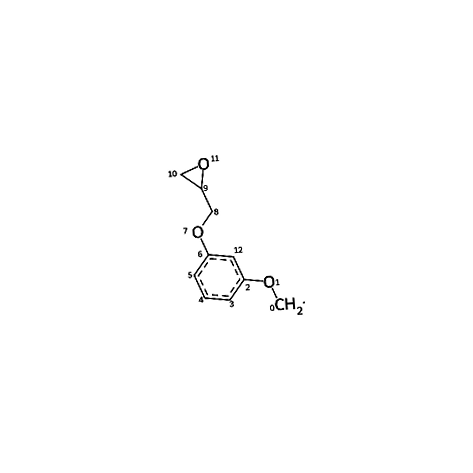 [CH2]Oc1cccc(OCC2CO2)c1